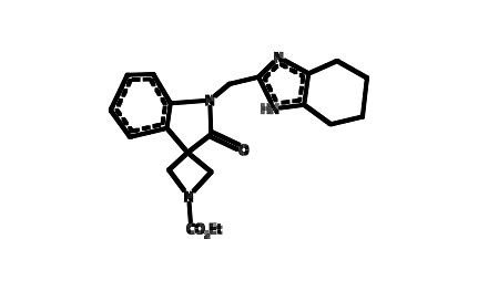 CCOC(=O)N1CC2(C1)C(=O)N(Cc1nc3c([nH]1)CCCC3)c1ccccc12